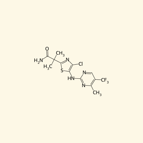 Cc1nc(Nc2sc(C(C)(C)C(N)=O)nc2Cl)ncc1C(F)(F)F